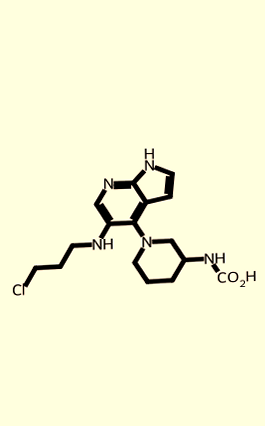 O=C(O)NC1CCCN(c2c(NCCCCl)cnc3[nH]ccc23)C1